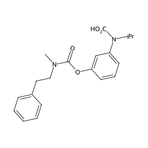 CC(C)N(C(=O)O)c1cccc(OC(=O)N(C)CCc2ccccc2)c1